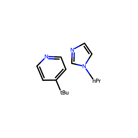 CC(C)(C)c1ccncc1.CCCn1ccnc1